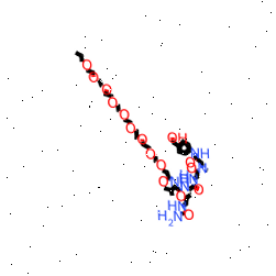 CCCOCCOCCOCCOCCOCCOCCOCCOCCOCCC(=O)N[C@H](C(=O)N[C@@H](CCCNC(N)=O)C(=O)NCC(=O)N(C)CC(=O)Nc1ccc(CO)cc1)C(C)C